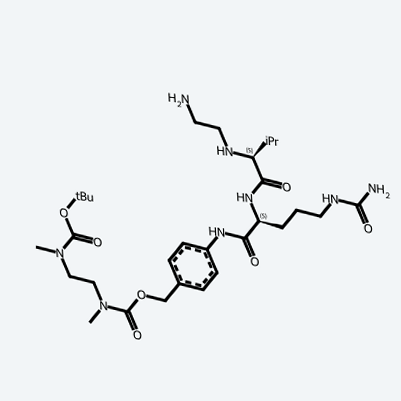 CC(C)[C@H](NCCN)C(=O)N[C@@H](CCCNC(N)=O)C(=O)Nc1ccc(COC(=O)N(C)CCN(C)C(=O)OC(C)(C)C)cc1